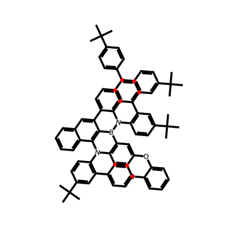 CC(C)(C)c1ccc(C(c2ccc(C(C)(C)C)cc2)c2ccc3c(c2)N(c2ccc(C(C)(C)C)cc2-c2ccccc2)B2c4cc5c(cc4N(c4ccc(C(C)(C)C)cc4-c4ccccc4)c4c2c-3cc2ccccc42)Oc2ccccc2O5)cc1